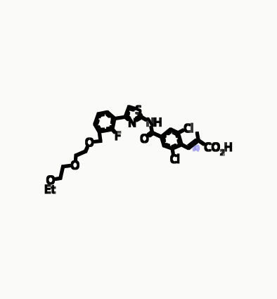 CCOCCOCCOCc1cccc(-c2csc(NC(=O)c3cc(Cl)c(/C=C(\C)C(=O)O)c(Cl)c3)n2)c1F